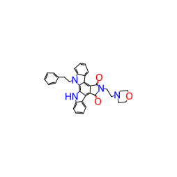 O=C1c2c(c3c4ccccc4n(CCc4ccccc4)c3c3[nH]c4ccccc4c23)C(=O)N1CCN1CCOCC1